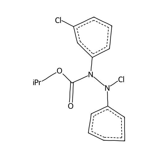 CC(C)OC(=O)N(c1cccc(Cl)c1)N(Cl)c1ccccc1